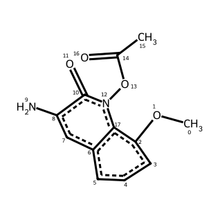 COc1cccc2cc(N)c(=O)n(OC(C)=O)c12